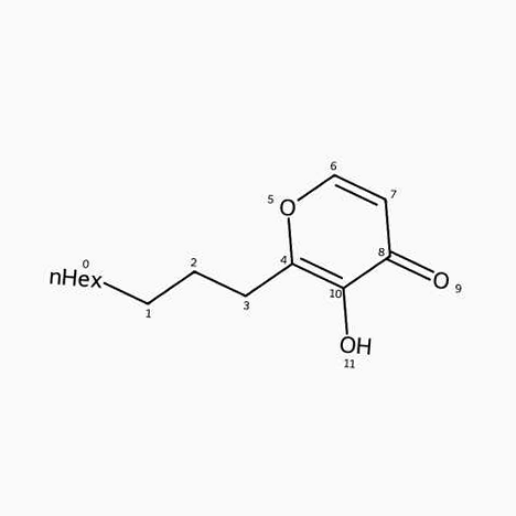 CCCCCCCCCc1occc(=O)c1O